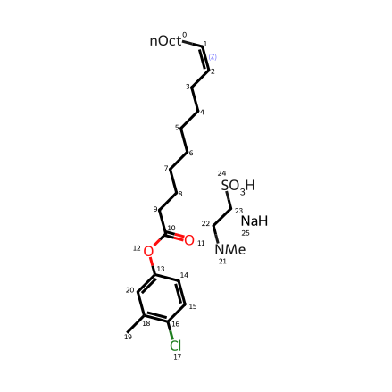 CCCCCCCC/C=C\CCCCCCCC(=O)Oc1ccc(Cl)c(C)c1.CNCCS(=O)(=O)O.[NaH]